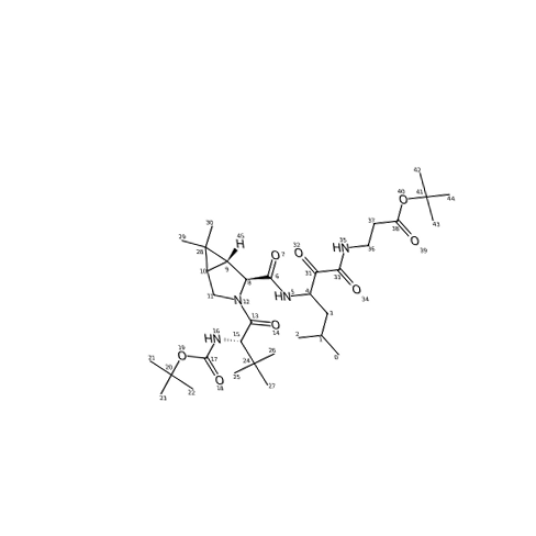 CC(C)CC(NC(=O)[C@@H]1[C@@H]2C(CN1C(=O)[C@@H](NC(=O)OC(C)(C)C)C(C)(C)C)C2(C)C)C(=O)C(=O)NCCC(=O)OC(C)(C)C